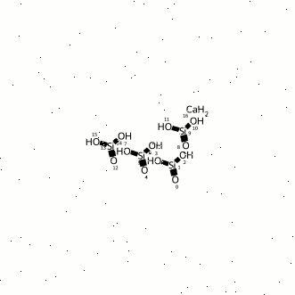 O=[Si](O)O.O=[Si](O)O.O=[Si](O)O.O=[Si](O)O.[CaH2]